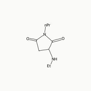 CCCN1C(=O)CC(NCC)C1=O